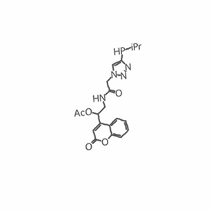 CC(=O)OC(CNC(=O)Cn1cc(PC(C)C)nn1)c1cc(=O)oc2ccccc12